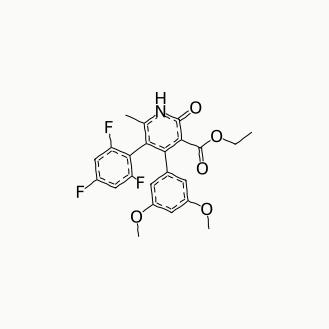 CCOC(=O)c1c(-c2cc(OC)cc(OC)c2)c(-c2c(F)cc(F)cc2F)c(C)[nH]c1=O